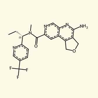 CC[C@@H](c1ccc(C(F)(F)F)cn1)N(C)C(=O)c1cc2c3c(c(N)nc2cn1)COC3